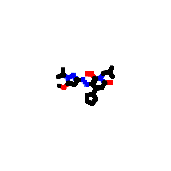 COc1cc(N=Nc2c(C3CCCC3)cc(=O)n(CC(C)C)c2O)nn1C(C)C